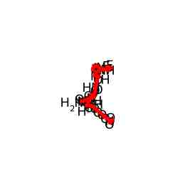 Cc1cccc(-c2nc(CNc3cccc(F)c3F)[nH]c2-c2ccc3ncc(OCCCCNC(=O)OCc4ccc(NC(=O)C(CCCNC(N)=O)NC(=O)[C@@H](NC(=O)CCOCCOCCOCCOCCN5C(=O)C=CC5=O)C(C)C)cc4)cc3c2)n1